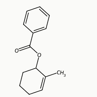 CC1=CCCCC1OC(=O)c1ccccc1